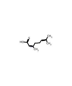 CC(C)=CCC/C(C)=C\C(O)=S